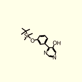 CC(C)(C)[Si](C)(C)Oc1cccc(-c2ncncc2O)c1